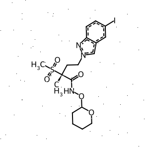 C[C@@](CCn1cc2cc(I)ccc2n1)(C(=O)NOC1CCCCO1)S(C)(=O)=O